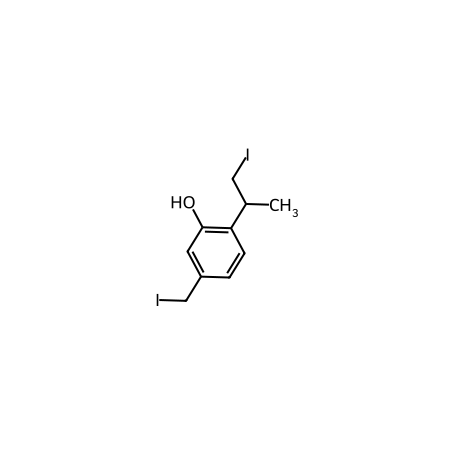 CC(CI)c1ccc(CI)cc1O